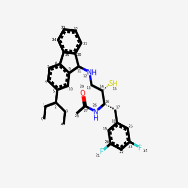 CCC(CC)c1ccc2c(c1)C(NC[C@H](S)[C@H](Cc1cc(F)cc(F)c1)NC(C)=O)c1ccccc1-2